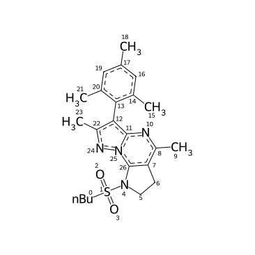 CCCCS(=O)(=O)N1CCc2c(C)nc3c(-c4c(C)cc(C)cc4C)c(C)nn3c21